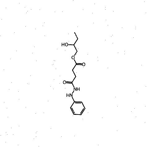 CCC(O)COC(=O)CCC(=O)NNc1ccccc1